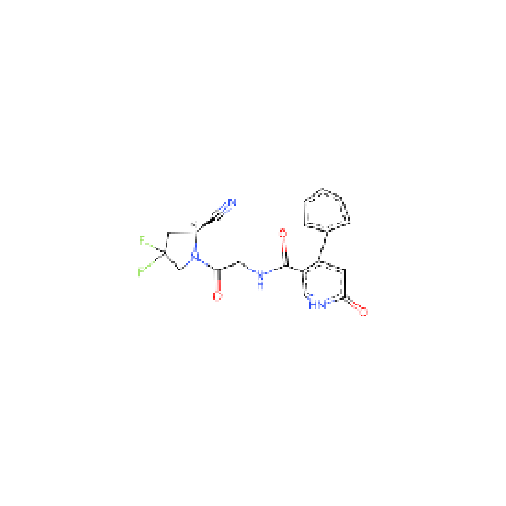 N#C[C@@H]1CC(F)(F)CN1C(=O)CNC(=O)c1c[nH]c(=O)cc1-c1ccccc1